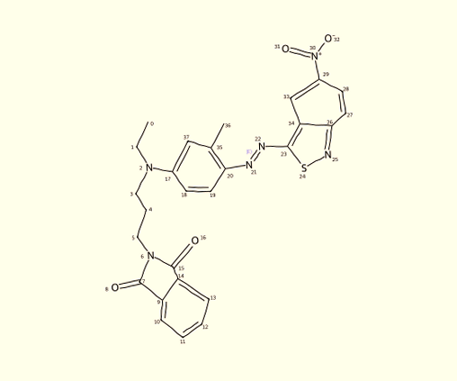 CCN(CCCN1C(=O)c2ccccc2C1=O)c1ccc(/N=N/c2snc3ccc([N+](=O)[O-])cc23)c(C)c1